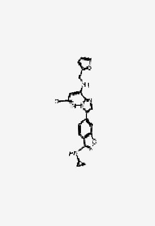 Clc1cc(NCc2cccs2)c2ncc(-c3ccc4c(NC5CC5)noc4c3)n2n1